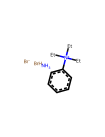 Br.CC[N+](CC)(CC)c1ccccc1.N.[Br-]